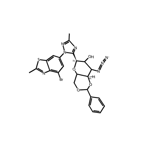 Cc1nc([C@@H]2OC3COC(c4ccccc4)O[C@@H]3C(N=[N+]=[N-])C2O)n(-c2cc(Br)c3nc(C)sc3c2)n1